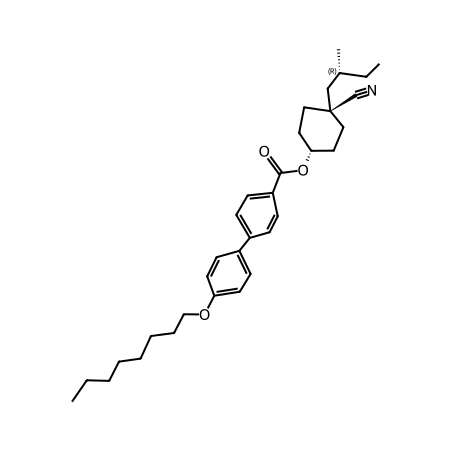 CCCCCCCCOc1ccc(-c2ccc(C(=O)O[C@H]3CC[C@@](C#N)(C[C@H](C)CC)CC3)cc2)cc1